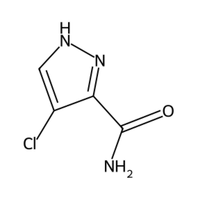 NC(=O)c1n[nH]cc1Cl